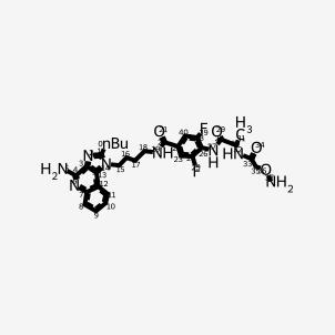 CCCCc1nc2c(N)nc3ccccc3c2n1CCCCNC(=O)c1cc(F)c(NC(=O)C(C)NC(=O)CON)c(F)c1